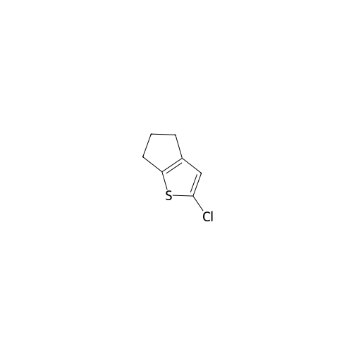 Clc1cc2c(s1)CCC2